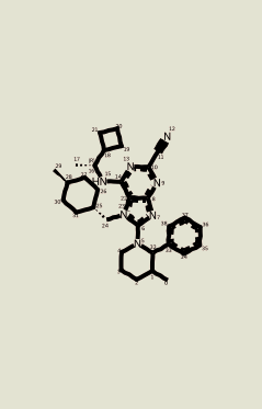 CC1CCCN(c2nc3nc(C#N)nc(N[C@H](C)C4CCC4)c3n2C[C@H]2CC[C@H](C)CC2)C1c1ccccc1